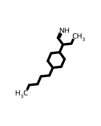 CCCCCC1CCC(C(C=N)CC)CC1